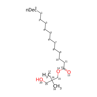 CCCCCCCCCCCCCCCCCCCCCC(=O)OCC(C)(C)CO